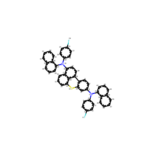 Fc1ccc(N(c2ccc3c(c2)Sc2cccc4c(N(c5ccc(F)cc5)c5cccc6ccccc56)ccc-3c24)c2cccc3ccccc23)cc1